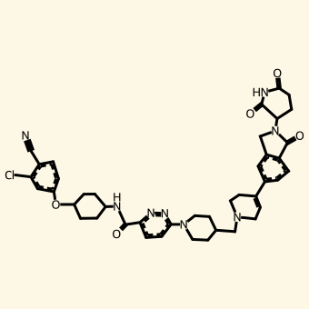 N#Cc1ccc(OC2CCC(NC(=O)c3ccc(N4CCC(CN5CC=C(c6ccc7c(c6)CN(C6CCC(=O)NC6=O)C7=O)CC5)CC4)nn3)CC2)cc1Cl